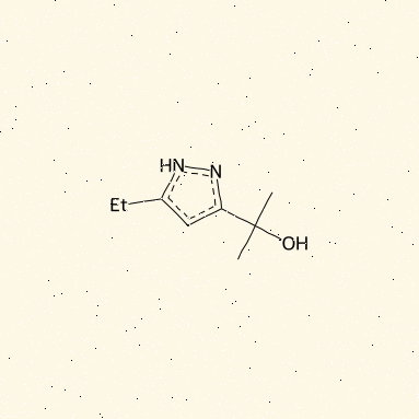 CCc1cc(C(C)(C)O)n[nH]1